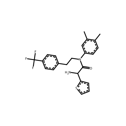 Cc1ccc(N(CCc2ccc(C(F)(F)F)cc2)C(=O)C(N)c2cccs2)cc1C